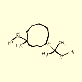 CNC(C)(C)[C@H]1CCCCCC(C)(NO)CC1